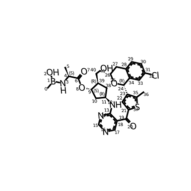 CB(O)N[C@@H](C)C(=O)O[C@H]1C[C@H](Nc2ncncc2C(=O)c2cc([C@@H]3OCCc4ccc(Cl)cc43)c(C)s2)C[C@@H]1CO